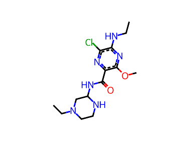 CCNc1nc(OC)c(C(=O)NC2CN(CC)CCN2)nc1Cl